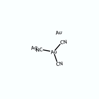 N#[C][Au]([C]#N)[C]#N.[Ag].[Au]